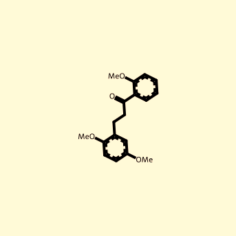 COc1ccc(OC)c(CCC(=O)c2ccccc2OC)c1